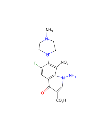 CN1CCN(c2c(F)cc3c(=O)c(C(=O)O)cn(N)c3c2[N+](=O)[O-])CC1